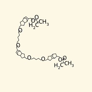 C=C(C)C(=O)OCC1CC2CC1C1CC(COCCCCCOCC3CC4C5CC(COCCCCCOCC6CC7C8CC(COC(=O)C(=C)C)C(C8)C7C6)C(C5)C4C3)CC21